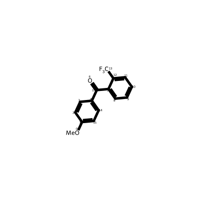 COc1ccc(C(=O)c2ccccc2C(F)(F)F)cc1